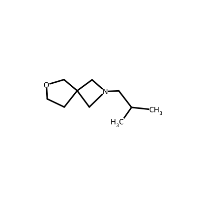 CC(C)CN1CC2(CCOC2)C1